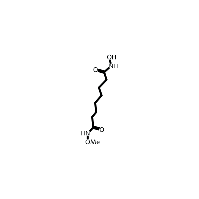 CONC(=O)CCCCCCC(=O)NO